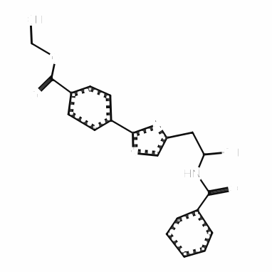 CCOC(=O)c1ccc(-c2nc(CC(C)NC(=O)c3ccccc3)cs2)cc1